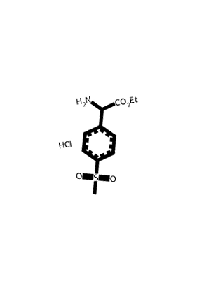 CCOC(=O)C(N)c1ccc(S(C)(=O)=O)cc1.Cl